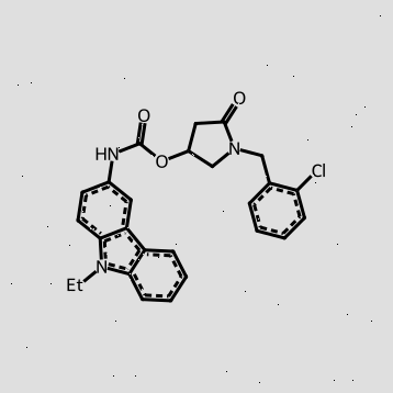 CCn1c2ccccc2c2cc(NC(=O)OC3CC(=O)N(Cc4ccccc4Cl)C3)ccc21